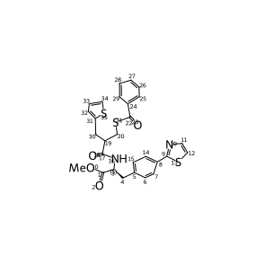 COC(=O)[C@H](Cc1ccc(-c2nccs2)cc1)NC(=O)C(CSC(=O)c1ccccc1)Cc1cccs1